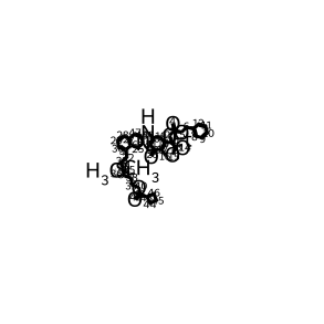 CCC1(OC(=O)OCc2ccccc2)C(=O)OCC2=C1CC1=C(C2=O)N2Cc3c(cccc3CC[Si](C)(C)CCCOC(=O)C3CCC3)C=C2N1